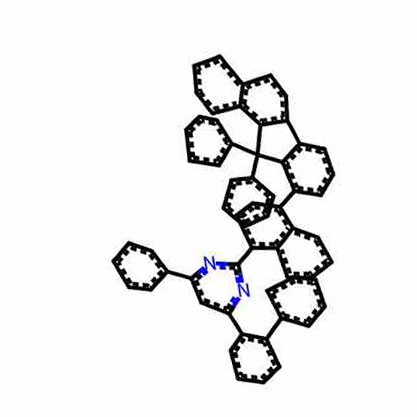 c1ccc(-c2cc(-c3ccccc3-c3ccccc3)nc(-c3ccc(-c4cccc5c4C(c4ccccc4)(c4ccccc4)c4c-5ccc5ccccc45)c4ccccc34)n2)cc1